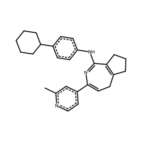 Cc1cc(C2=CCC3=C(CCC3)C(Nc3ccc(C4CCCCC4)cc3)=N2)ccn1